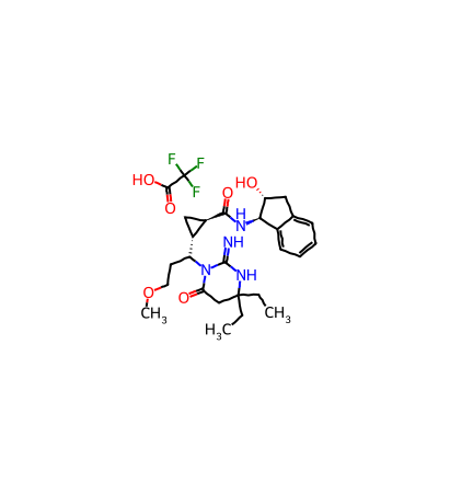 CCC1(CC)CC(=O)N(C(CCOC)[C@@H]2C[C@H]2C(=O)N[C@@H]2c3ccccc3C[C@H]2O)C(=N)N1.O=C(O)C(F)(F)F